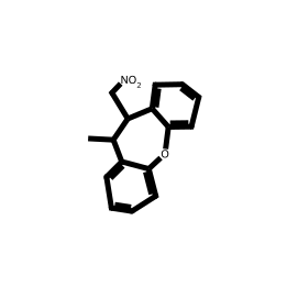 CC1c2ccccc2Oc2ccccc2C1C[N+](=O)[O-]